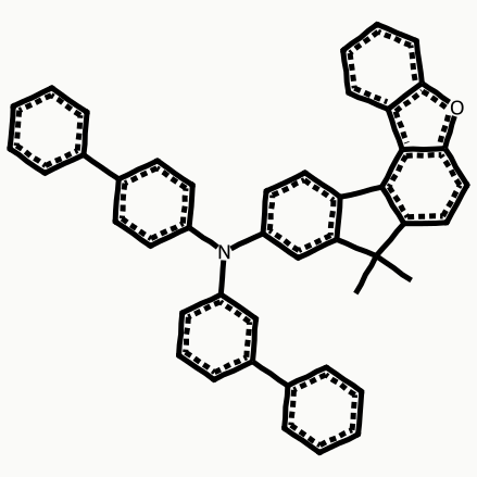 CC1(C)c2cc(N(c3ccc(-c4ccccc4)cc3)c3cccc(-c4ccccc4)c3)ccc2-c2c1ccc1oc3ccccc3c21